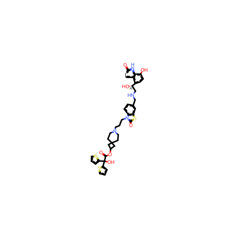 O=C(OC1CC2(CCN(CCCn3c(=O)sc4cc(CNC[C@H](O)c5ccc(O)c6[nH]c(=O)ccc56)ccc43)CC2)C1)C(O)(c1cccs1)c1cccs1